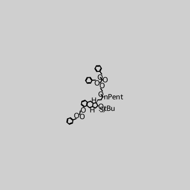 CCCCC[C@@H](CC[C@H]1C(O[Si](C)(C)C(C)(C)C)C[C@@H]2Cc3c(cccc3OCC(=O)OCc3ccccc3)C[C@@H]21)OCCOC(OCc1ccccc1)C(=O)OCc1ccccc1